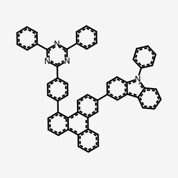 c1ccc(-c2nc(-c3ccccc3)nc(-c3ccc(-c4cccc5c6ccccc6c6cc(-c7ccc8c(c7)c7ccccc7n8-c7ccccc7)ccc6c45)cc3)n2)cc1